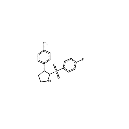 O=S(=O)(c1ccc(F)cc1)C1NCCC1c1ccc(C(F)(F)F)cc1